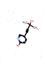 CC(C)(O)C#Cc1ccc(Br)nc1